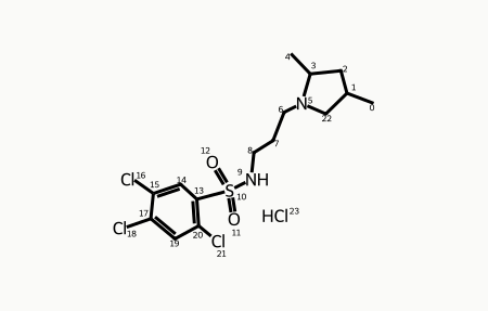 CC1CC(C)N(CCCNS(=O)(=O)c2cc(Cl)c(Cl)cc2Cl)C1.Cl